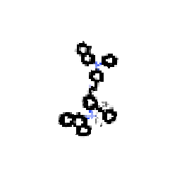 CC(C)(c1ccccc1)c1cc(/C=C/c2ccc(N(c3ccccc3)c3ccc4ccccc4c3)cc2)ccc1Nc1cc2ccccc2c2ccccc12